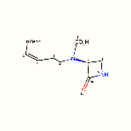 CCCCC/C=C\CCN(C(=O)O)[C@H]1CNC1=O